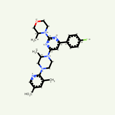 Cc1cc(C(=O)O)cnc1N1CCN(c2cc(-c3ccc(F)cc3)nc(N3CCOCC3C)n2)C(C)C1